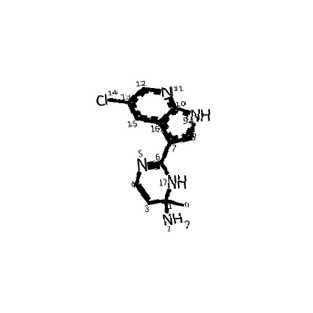 CC1(N)C=CN=C(c2c[nH]c3ncc(Cl)cc23)N1